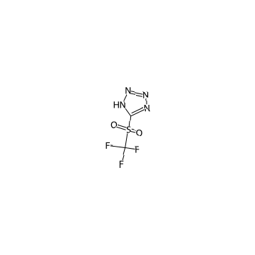 O=S(=O)(c1nnn[nH]1)C(F)(F)F